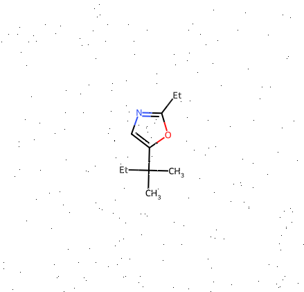 CCc1ncc(C(C)(C)CC)o1